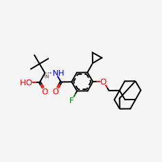 CC(C)(C)[C@H](NC(=O)c1cc(C2CC2)c(OCC23CC4CC(CC(C4)C2)C3)cc1F)C(=O)O